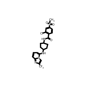 CS(=O)(=O)c1ccc(C(=O)NC2CCC(Nc3cccc4nc(C(F)(F)F)cn34)CC2)c(Cl)c1